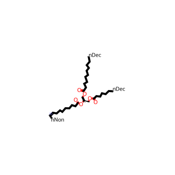 CCCCCCCCC/C=C\CCCCCCCC(=O)O[C@H](COC(=O)CCCCCCCCCCCCCCCC)COC(=O)CCCCCCCCCCCCCCCCCCCC